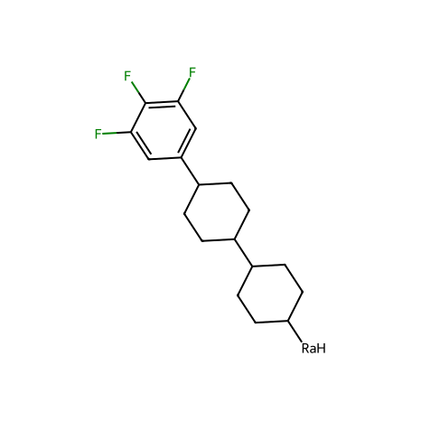 Fc1cc(C2CCC(C3CC[CH]([RaH])CC3)CC2)cc(F)c1F